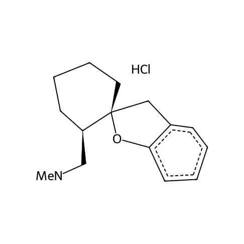 CNC[C@H]1CCCC[C@]12Cc1ccccc1O2.Cl